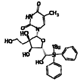 Cc1cn([C@@H]2O[C@H](C(O)[Si](c3ccccc3)(c3ccccc3)C(C)(C)C)[C@@H](O)[C@]2(O)CCO)c(=O)[nH]c1=O